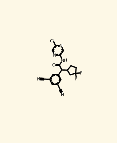 N#Cc1cc(C#N)cc(C(C(=O)Nc2cnc(Cl)cn2)C2CCC(F)(F)C2)c1